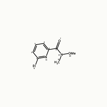 [CH2]Cc1cccc(C(=O)N(C)OC)n1